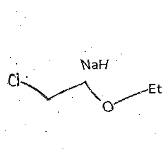 [CH2]COCCCl.[NaH]